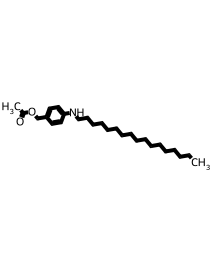 CCCCCCCCCCCCCCCCCNc1ccc(COC(C)=O)cc1